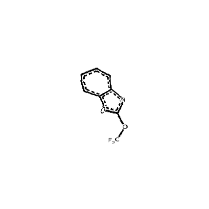 FC(F)(F)Oc1nc2ccccc2o1